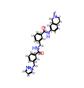 CN1CCc2ccc(NC(=O)c3cccc(CNC(=O)c4cccc(Cn5cccn5)c4)c3)cc2C1